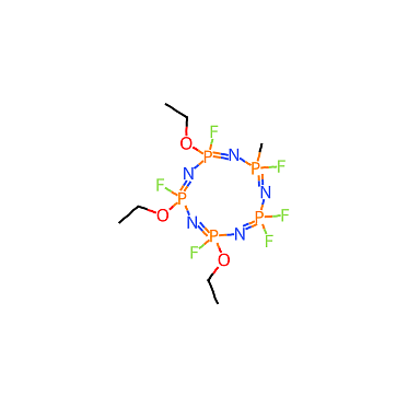 CCOP1(F)=NP(C)(F)=NP(F)(F)=NP(F)(OCC)=NP(F)(OCC)=N1